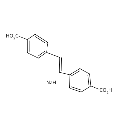 O=C(O)c1ccc(C=Cc2ccc(C(=O)O)cc2)cc1.[NaH]